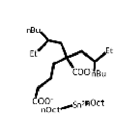 CCCCC(CC)CC(CCCC(=O)[O-])(CC(CC)CCCC)C(=O)[O-].CCCCCCC[CH2][Sn+2][CH2]CCCCCCC